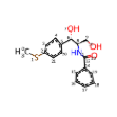 CSc1ccc([C@H](O)[C@@H](CO)NC(=O)c2ccccc2)cc1